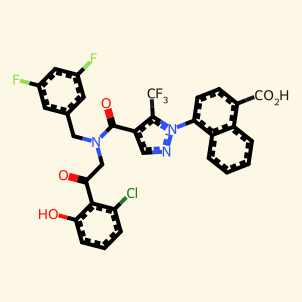 O=C(CN(Cc1cc(F)cc(F)c1)C(=O)c1cnn(-c2ccc(C(=O)O)c3ccccc23)c1C(F)(F)F)c1c(O)cccc1Cl